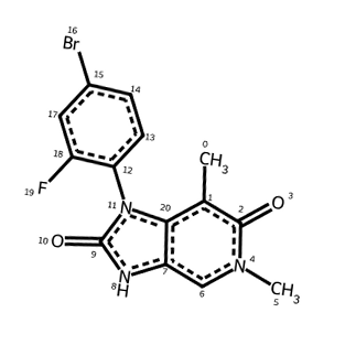 Cc1c(=O)n(C)cc2[nH]c(=O)n(-c3ccc(Br)cc3F)c12